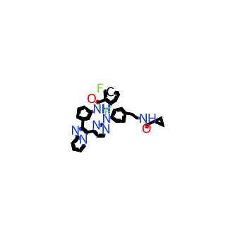 O=C(Nc1cccc(-c2nc3ccccn3c2-c2ccnc(Nc3ccc(CCNC(=O)C4CC4)cc3)n2)c1)c1c(F)cccc1F